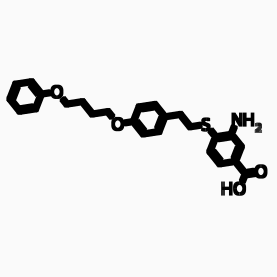 Nc1cc(C(=O)O)ccc1SCCc1ccc(OCCCCOc2ccccc2)cc1